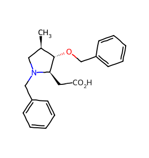 C[C@@H]1CN(Cc2ccccc2)[C@H](CC(=O)O)[C@H]1OCc1ccccc1